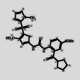 COc1ccc(NC(=O)Nc2nc(C(=O)O)c(S(=O)(=O)c3nnnn3C)s2)c(C(=O)C2CCCC2)c1